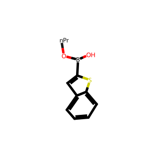 CCCOB(O)c1cc2ccccc2s1